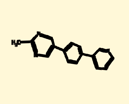 Cc1ncc(-c2ccc(-c3cccnc3)cc2)cn1